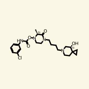 C[C@H]1C(=O)N(CCCCN2CCC3(CC3)[C@H](O)C2)CCN1OC(=O)Nc1cccc(Cl)c1